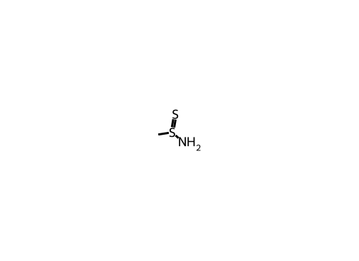 CS(N)=S